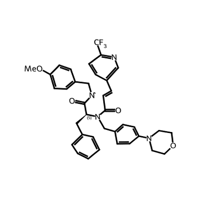 COc1ccc(CN(C)C(=O)[C@H](Cc2ccccc2)N(Cc2ccc(N3CCOCC3)cc2)C(=O)C=Cc2ccc(C(F)(F)F)nc2)cc1